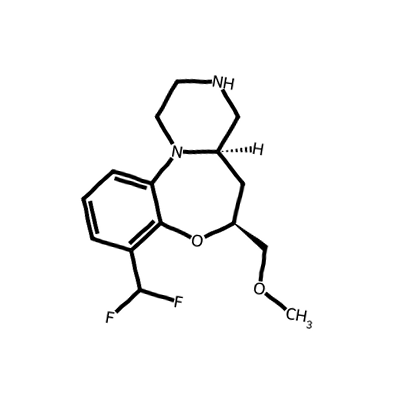 COC[C@@H]1C[C@@H]2CNCCN2c2cccc(C(F)F)c2O1